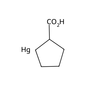 O=C(O)C1CCCC1.[Hg]